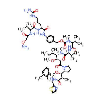 CC[C@H](C)[C@@H]([C@@H](CC(=O)N1CCC[C@H]1[C@H](OC)[C@@H](C)C(=O)N[C@@H](Cc1ccccc1C)c1nccs1)OC)N(C)C(=O)[C@@H](NC(=O)C(C(C)C)N(C)C(=O)OCc1ccc(NC(=O)[C@H](CCCNC(N)=O)NC(=O)C(NC(=O)CON)C(C)C)cc1)C(C)C